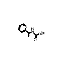 CCCCC(=O)NC(C)c1ccccn1